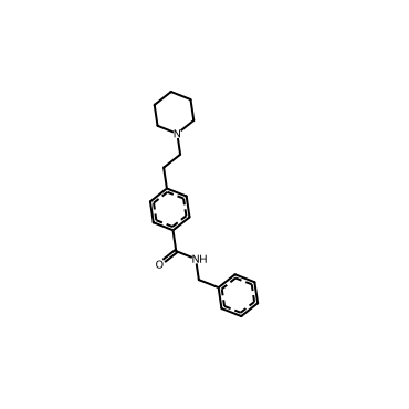 O=C(NCc1ccccc1)c1ccc(CCN2CCCCC2)cc1